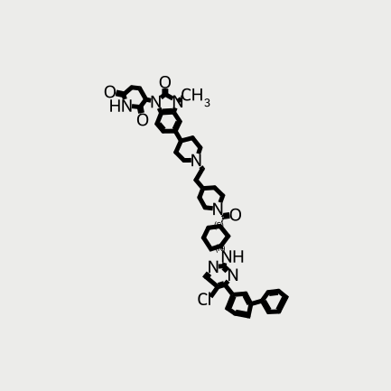 Cn1c(=O)n(C2CCC(=O)NC2=O)c2ccc(C3CCN(CCC4CCN(C(=O)[C@H]5CCC[C@@H](Nc6ncc(Cl)c(-c7cccc(-c8ccccc8)c7)n6)C5)CC4)CC3)cc21